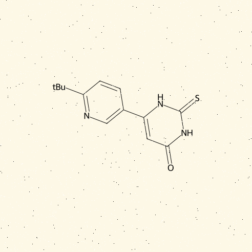 CC(C)(C)c1ccc(-c2cc(=O)[nH]c(=S)[nH]2)cn1